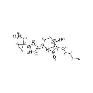 CCCCON1C(=O)N2C[C@@H]1CC[C@H]2c1nnc(C2(CN)CC2)o1